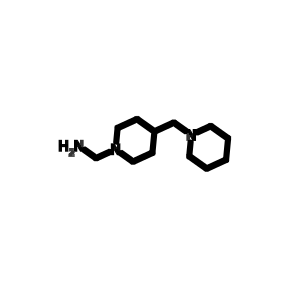 NCN1CCC(CN2CCCCC2)CC1